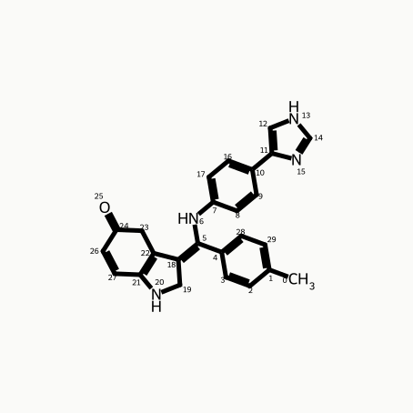 Cc1ccc(C(Nc2ccc(-c3c[nH]cn3)cc2)=C2CNC3=C2CC(=O)C=C3)cc1